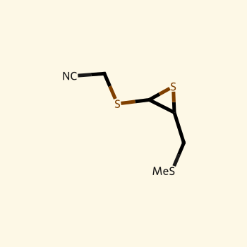 CSCC1SC1SCC#N